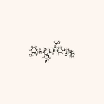 CC(=N)NC(=O)Nc1ccc2c(c1)c(C(C)=O)cn2CC(=O)N1C[C@H](F)C[C@H]1C(=O)NCc1cccc(Cl)c1F